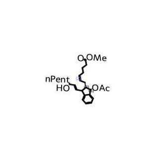 CCCCCC(O)C=CC1c2ccccc2[C@@H](OC(C)=O)[C@@H]1C/C=C\CCCC(=O)OC